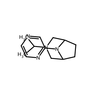 CC(C)N1CC2CCC(C1)N2c1cnccn1